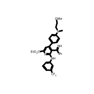 CCOC(=O)c1cc(-c2ccc(N(C)CCOC)cc2)c(C(=N)C(C)C)c(Nc2cccc(C(F)(F)F)c2)n1